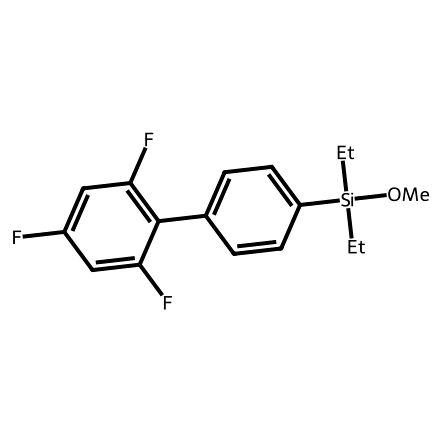 CC[Si](CC)(OC)c1ccc(-c2c(F)cc(F)cc2F)cc1